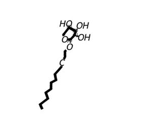 CCCCCCCCCCCCO[C@@H]1OC[C@@H](O)[C@H](O)[C@H]1O